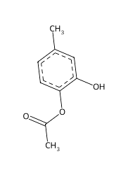 CC(=O)Oc1ccc(C)cc1O